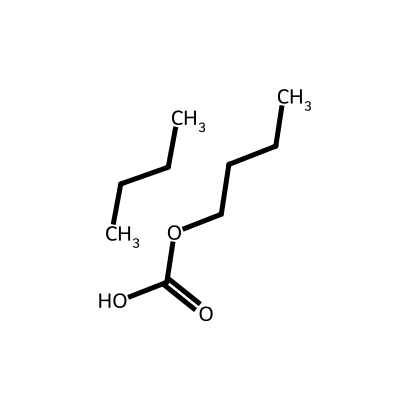 CCCC.CCCCOC(=O)O